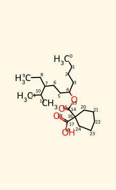 CCCCC(CCC(CC)C(C)C)OC(=O)C1(C(=O)O)CCCCC1